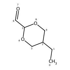 CCC1COC(C=O)OC1